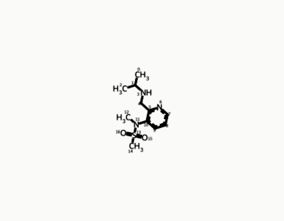 CC(C)NCc1ncccc1N(C)S(C)(=O)=O